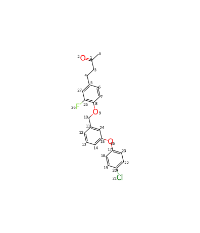 CC(=O)CCc1ccc(OCc2cccc(Oc3ccc(Cl)cc3)c2)c(F)c1